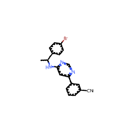 CC(Nc1cc(-c2cccc(C#N)c2)ncn1)c1ccc(Br)cc1